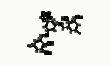 CC(=O)[O-].CC(=O)[O-].Cc1cc(C=Nc2cccc(N=Cc3cc(C)cc(C(C)(C)C)c3O)c2)c(O)c(C(C)(C)C)c1.[Co+2]